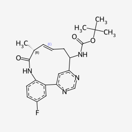 C[C@@H]1/C=C/CC(NC(=O)OC(C)(C)C)c2cc(ncn2)-c2cc(F)ccc2NC1=O